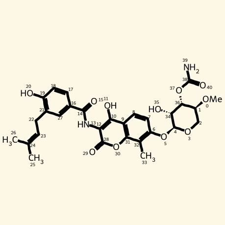 CO[C@H]1CO[C@@H](Oc2ccc3c(O)c(NC(=O)c4ccc(O)c(CC=C(C)C)c4)c(=O)oc3c2C)[C@H](O)[C@@H]1OC(N)=O